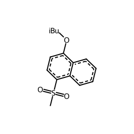 CCC(C)Oc1ccc(S(C)(=O)=O)c2ccccc12